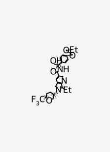 CC[C@H]1c2ncc(C(=O)N[C@@H](CO)c3ccc(S(=O)(=O)CC)cc3)cc2CN1C[C@H]1CC[C@H](C(F)(F)F)OC1